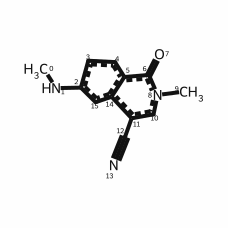 CNc1ccc2c(=O)n(C)cc(C#N)c2c1